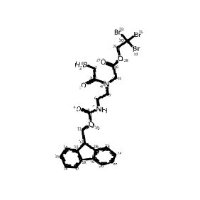 BCC(=O)N(CCNC(=O)OCC1c2ccccc2-c2ccccc21)CC(=O)OCC(Br)(Br)Br